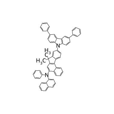 CC1(C)c2cc(-n3c4ccc(-c5ccccc5)cc4c4cc(-c5ccccc5)ccc43)ccc2-c2c1cc(N(c1ccccc1)c1cccc3ccccc13)c1ccccc21